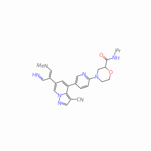 CN/C=C(\C=N)c1cc(-c2ccc(N3CCOC(C(=O)NC(C)C)C3)nc2)c2c(C#N)cnn2c1